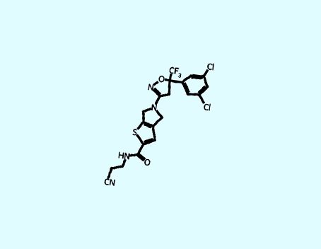 N#CCCNC(=O)c1cc2c(s1)CN(C1=NOC(c3cc(Cl)cc(Cl)c3)(C(F)(F)F)C1)C2